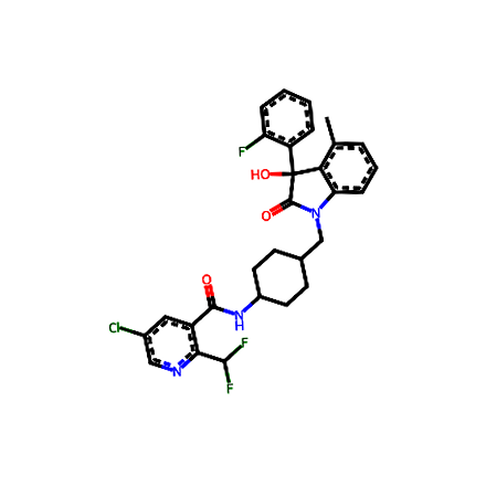 Cc1cccc2c1C(O)(c1ccccc1F)C(=O)N2CC1CCC(NC(=O)c2cc(Cl)cnc2C(F)F)CC1